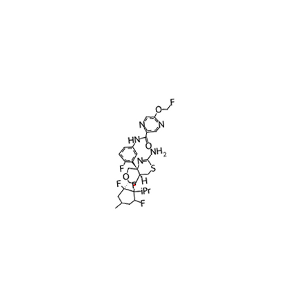 CC1CC(F)C(F)(C(C)C)C(F)([C@H]2C[C@H]3CSC(N)=N[C@@]3(c3cc(NC(=O)c4cnc(OCF)cn4)ccc3F)CO2)C1